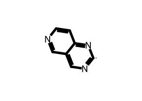 [c]1ncc2cnccc2n1